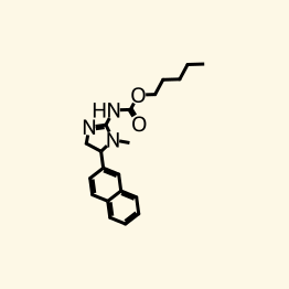 CCCCCOC(=O)NC1=NCC(c2ccc3ccccc3c2)N1C